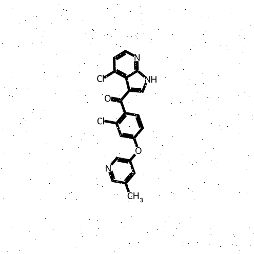 Cc1cncc(Oc2ccc(C(=O)c3c[nH]c4nccc(Cl)c34)c(Cl)c2)c1